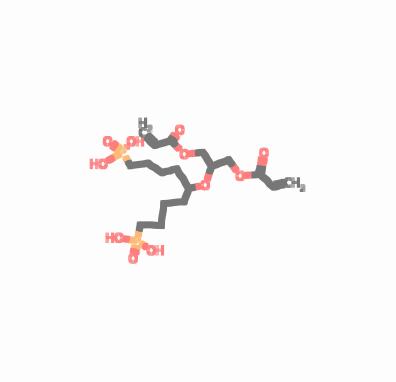 C=CC(=O)OCC(COC(=O)C=C)OC(CCCCP(=O)(O)O)CCCCP(=O)(O)O